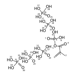 C=C(C)C(=O)OP(=O)(O)O.O=P(O)(O)O.O=P(O)(O)O.O=P(O)(O)O.O=P(O)(O)O.O=P(O)(O)O